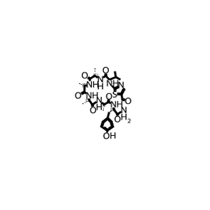 CC(C)C(Nc1ncc(C=O)s1)C(=O)N[C@@H](C)C(=O)N[C@@H](C)C(=O)N[C@@H](C)C(=O)N[C@@H](C)C(=O)N[C@@H](Cc1ccc(O)cc1)C(N)=O